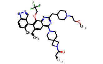 C=CC(=O)N1CC2(CCN(c3nc(CC4CCN(CCOC)CC4)nc4c(OCC(F)(F)F)c(-c5c(C)ccc6[nH]ncc56)c(C=C)cc34)CC2)C1